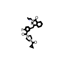 C/C=C/n1nc(Cc2ccc(F)c(C(=O)N3CCN(C(=O)C4CC4)CC3)c2)c2ccccc2c1=O